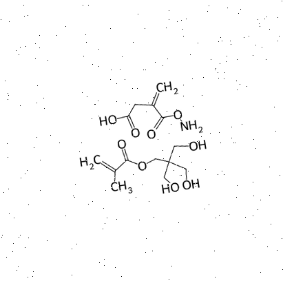 C=C(C)C(=O)OCC(CO)(CO)CO.C=C(CC(=O)O)C(=O)ON